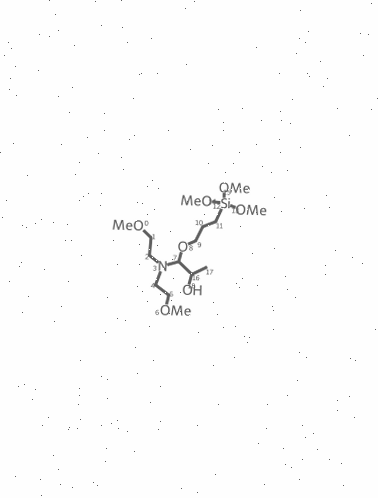 COCCN(CCOC)C(OCCC[Si](OC)(OC)OC)C(C)O